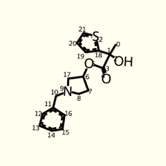 CC(O)(C(=O)OC1CCN(Cc2ccccc2)C1)c1cccs1